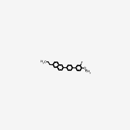 CCCc1ccc2cc(-c3ccc(-c4ccc(OC)c(F)c4)cc3)ccc2c1